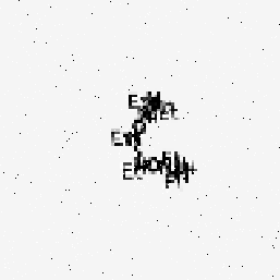 CCN(CCCCN(CC)c1ccc(N=Nc2n(CC)nc[n+]2CC)cc1)c1ccc(N=Nc2n(CC)nc[n+]2CC)cc1